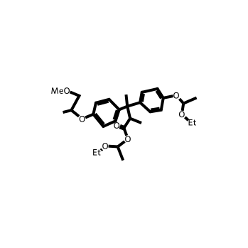 CCOC(C)OC(=O)C(C)C(C)(c1ccc(OC(C)COC)cc1)c1ccc(OC(C)OCC)cc1